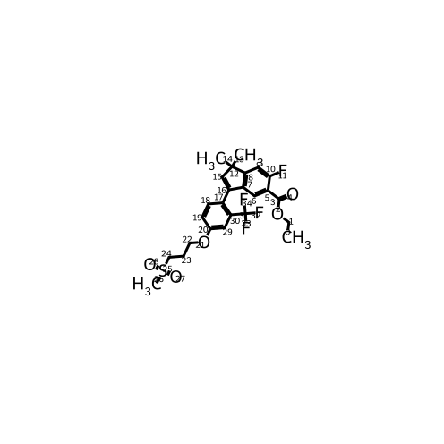 CCOC(=O)c1cc2c(cc1F)C(C)(C)C=C2c1ccc(OCCCS(C)(=O)=O)cc1C(F)(F)F